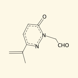 C=C(C)c1ccc(=O)n(CC=O)n1